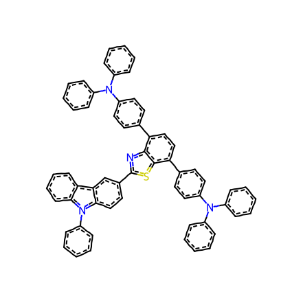 c1ccc(N(c2ccccc2)c2ccc(-c3ccc(-c4ccc(N(c5ccccc5)c5ccccc5)cc4)c4sc(-c5ccc6c(c5)c5ccccc5n6-c5ccccc5)nc34)cc2)cc1